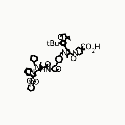 Cc1c(C(=O)N2CCC(C)(C(=O)O)CC2)cc(-c2cc(C(C)(C)C)c3c(c2)C2(CCO3)CC2)n1CC1CCC(C2CC(NC(=O)c3cc(-c4cc(S(=O)(=O)N5CCCCC5)c5ccccn45)n(CC4CCCCC4)c3C)CCO2)CC1